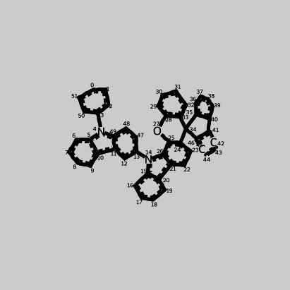 c1ccc(-n2c3ccccc3c3cc(-n4c5ccccc5c5ccc6c(c54)Oc4ccccc4C64c5ccccc5-c5ccccc54)ccc32)cc1